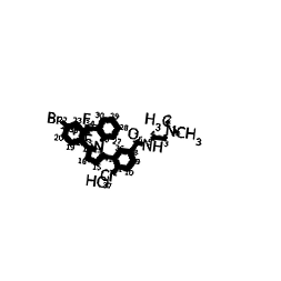 CN(C)CCNC(=O)c1ccc(Cl)c(-c2ccc(-c3ccc(Br)cc3)n2-c2ccccc2C(F)(F)F)c1.Cl